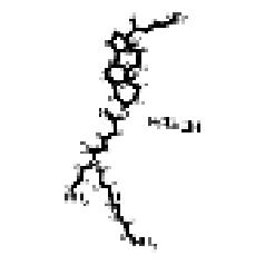 CC(C)CCCC(C)C1CCC2C3CC=C4CC(OC(=O)CCCC(=O)N(CCCN)CCCCNCCCN)CCC4(C)C3CCC12C.Cl.Cl.Cl